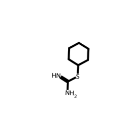 N=C(N)SC1CCCCC1